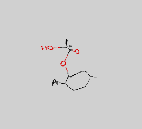 CC1CCC(C(C)C)C(OC(=O)[C@H](C)O)C1